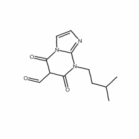 CC(C)CCN1C(=O)C(C=O)C(=O)n2ccnc21